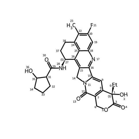 CC[C@@]1(O)C(=O)OCc2c1cc1n(c2=O)Cc2c-1nc1cc(F)c(C)c3c1c2[C@@H](NC(=O)C1CCCC1O)CC3